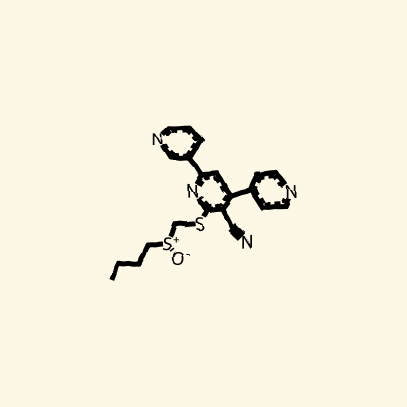 CCCC[S+]([O-])CSc1nc(-c2cccnc2)cc(-c2ccncc2)c1C#N